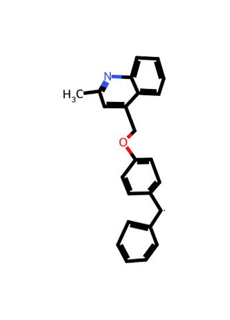 Cc1cc(COc2ccc([CH]c3ccccc3)cc2)c2ccccc2n1